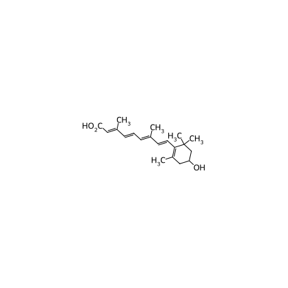 CC1=C(/C=C/C(C)=C/C=C/C(C)=C/C(=O)O)C(C)(C)CC(O)C1